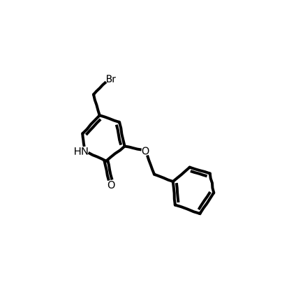 O=c1[nH]cc(CBr)cc1OCc1ccccc1